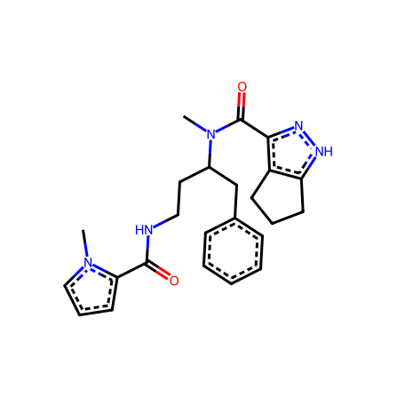 CN(C(=O)c1n[nH]c2c1CCC2)C(CCNC(=O)c1cccn1C)Cc1ccccc1